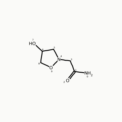 NC(=O)CN1CC(O)CO1